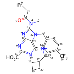 CC(C)CC(=O)N(C)c1nc2nc(C(=O)O)nc(NC(C)C3CCC3)c2n1Cc1ccc(C(F)(F)F)cc1